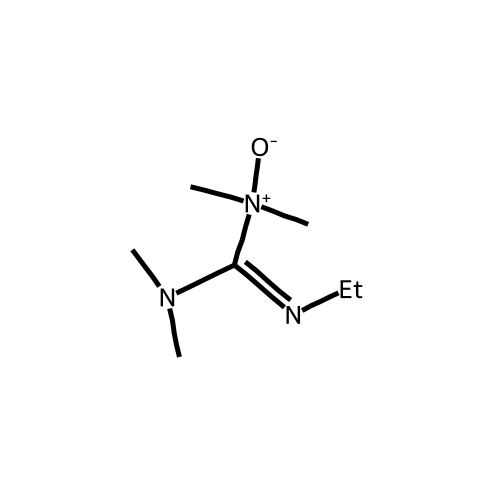 CCN=C(N(C)C)[N+](C)(C)[O-]